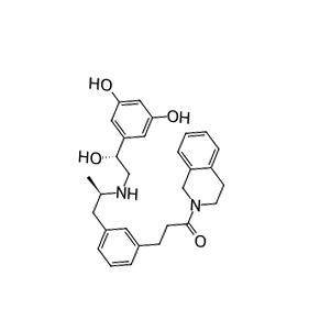 C[C@H](Cc1cccc(CCC(=O)N2CCc3ccccc3C2)c1)NC[C@H](O)c1cc(O)cc(O)c1